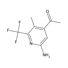 CC(=O)c1cc(N)nc(C(F)(F)F)c1C